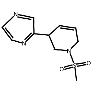 CS(=O)(=O)N1[CH]C(c2cnccn2)C=CC1